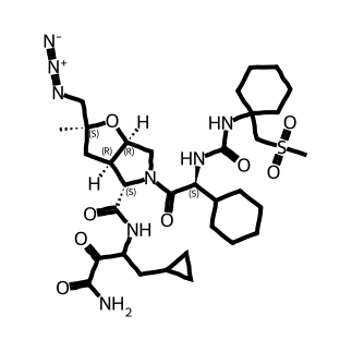 C[C@@]1(CN=[N+]=[N-])C[C@H]2[C@H](CN(C(=O)[C@@H](NC(=O)NC3(CS(C)(=O)=O)CCCCC3)C3CCCCC3)[C@@H]2C(=O)NC(CC2CC2)C(=O)C(N)=O)O1